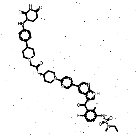 CCN(C)S(=O)(=O)Nc1ccc(F)c(C(=O)c2c[nH]c3ncc(-c4ccc(N5CCC(NC(=O)CN6CCC(c7ccc(NC8CCC(=O)NC8=O)cc7)CC6)CC5)nc4)cc23)c1F